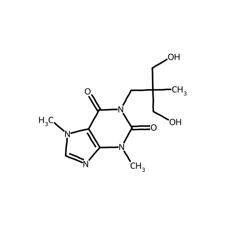 Cn1cnc2c1c(=O)n(CC(C)(CO)CO)c(=O)n2C